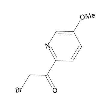 COc1ccc(C(=O)CBr)nc1